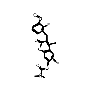 Cc1c(Cc2cccc(N=O)c2F)c(=O)oc2cc(OC(=O)N(C)C)c(F)cc12